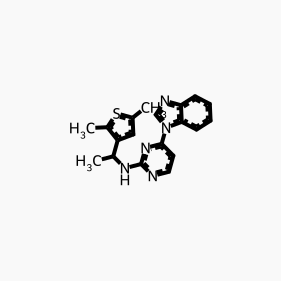 Cc1cc(C(C)Nc2nccc(-n3cnc4ccccc43)n2)c(C)s1